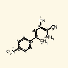 CC(=NC(C#N)=C(N)C#N)c1ccc([N+](=O)[O-])cc1